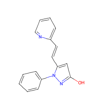 Oc1cc(C=Cc2ccccn2)n(-c2ccccc2)n1